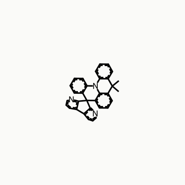 CC1(C)c2ccccc2N2c3ccccc3C3(c4cccc1c42)c1ncccc1-c1cccnc13